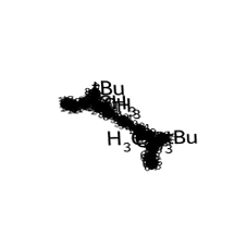 CC(C)(C)c1ccc(N(c2ccc(-c3ccc4ccccc4c3)cc2)c2ccc3c(c2)C(C)(C)c2cc(/C=C/c4ccc(/C=C/c5ccc6c(c5)C(C)(C)c5cc(N(c7ccc(-c8ccc9ccccc9c8)cc7)c7ccc(C(C)(C)C)cc7)ccc5-6)cc4)ccc2-3)cc1